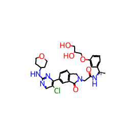 C[C@@H](NC(=O)CN1Cc2ccc(-c3nc(NC4CCOCC4)ncc3Cl)cc2C1=O)c1cccc(OCC(O)CO)c1